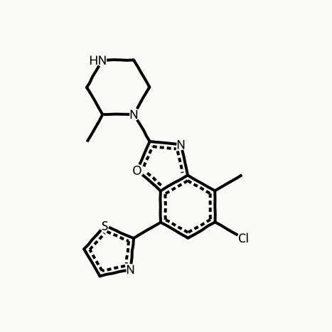 Cc1c(Cl)cc(-c2nccs2)c2oc(N3CCNCC3C)nc12